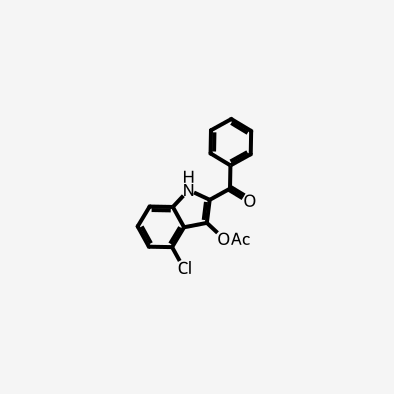 CC(=O)Oc1c(C(=O)c2ccccc2)[nH]c2cccc(Cl)c12